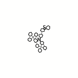 c1ccc(C2(c3ccccc3)c3ccccc3-c3ccc(N(c4ccc(-c5ccc6sc7ccccc7c6c5)cc4)c4cccc5c4-c4ccccc4C5(c4ccccc4)c4ccccc4)cc32)cc1